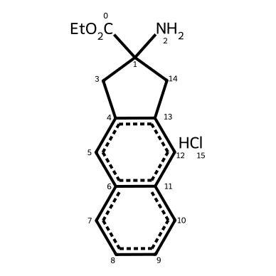 CCOC(=O)C1(N)Cc2cc3ccccc3cc2C1.Cl